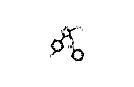 NC1=NN=C(c2ccc(F)cc2)/C1=N\Nc1ccccc1